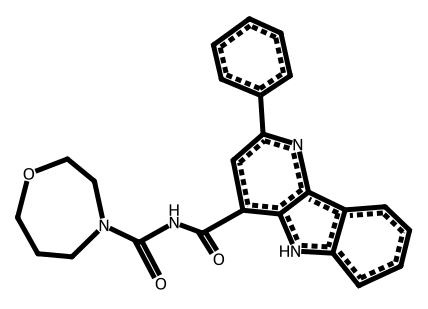 O=C(NC(=O)N1CCCOCC1)c1cc(-c2ccccc2)nc2c1[nH]c1ccccc12